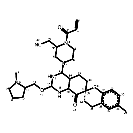 C=CC(=O)N1CCN(C2NC(OCC3CCCN3C)NC3C(=O)[C@@]4(CCc5cc(C)ccc5S4)CCC32)CC1CC#N